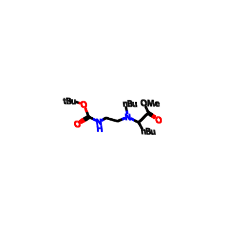 CCCCC(C(=O)OC)N(CCCC)CCNC(=O)OC(C)(C)C